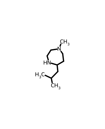 CC(C)CC1CCN(C)CCN1